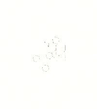 CCCC(C)(Pc1ccccc1CN(C)C)c1cc(Cc2ccccc2)cc(Cc2ccccc2)c1O